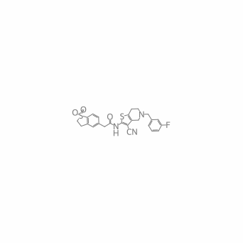 N#Cc1c(NC(=O)Cc2ccc3c(c2)CCS3(=O)=O)sc2c1CN(Cc1cccc(F)c1)CC2